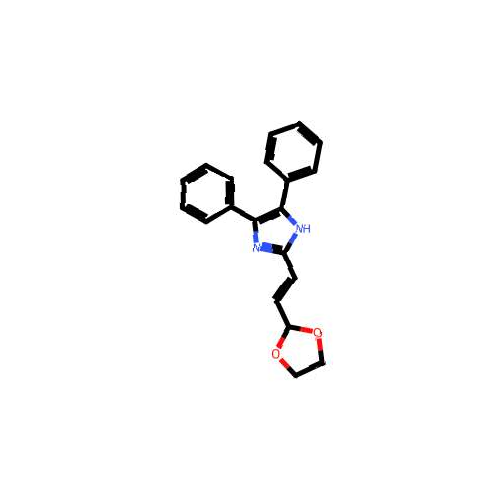 C(=CC1OCCO1)c1nc(-c2ccccc2)c(-c2ccccc2)[nH]1